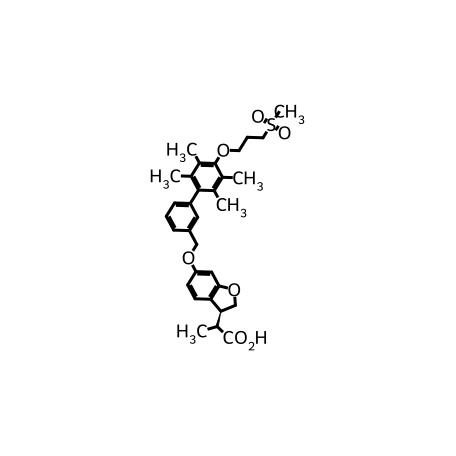 Cc1c(C)c(-c2cccc(COc3ccc4c(c3)OC[C@H]4C(C)C(=O)O)c2)c(C)c(C)c1OCCCS(C)(=O)=O